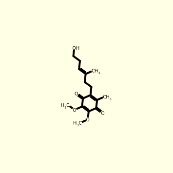 COC1=C(OC)C(=O)C(CC/C(C)=C/CCO)=C(C)C1=O